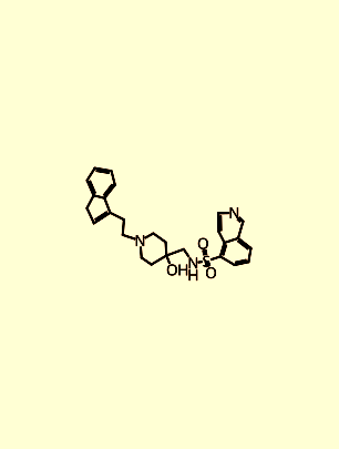 O=S(=O)(NCC1(O)CCN(CCC2=CCc3ccccc32)CC1)c1cccc2cnccc12